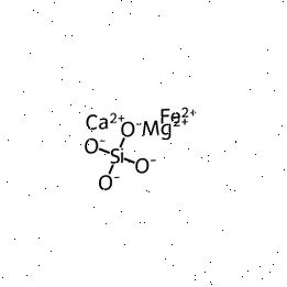 [Ca+2].[Fe+2].[Mg+2].[O-][Si]([O-])([O-])[O-]